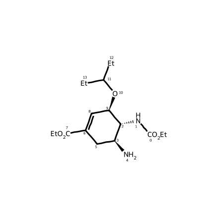 CCOC(=O)N[C@@H]1[C@@H](N)CC(C(=O)OCC)=C[C@H]1OC(CC)CC